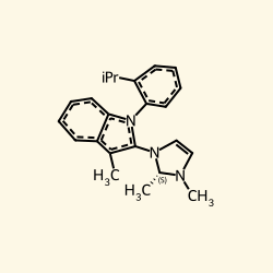 Cc1c(N2C=CN(C)[C@@H]2C)n(-c2ccccc2C(C)C)c2ccccc12